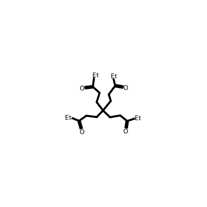 CCC(=O)CCC(CCC(=O)CC)(CCC(=O)CC)CCC(=O)CC